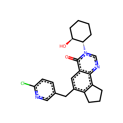 O=c1c2cc(Cc3ccc(Cl)nc3)c3c(c2ncn1[C@H]1CCCC[C@@H]1O)CCC3